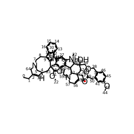 CCC1=C[C@@H]2CN(CCc3c([nH]c4ccccc34)[C@@](C(=O)OC)(c3cc4c(cc3OC)N(C)[C@H]3C(O)(COCc5ccc(OC)cc5)[C@H](OC(C)=O)[C@]5(CC)C=CCN6CC[C@]43C65)C2)C1